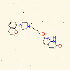 CC1CCc2cccc(N3CCN(CCCCOc4ccc5ccc(=O)[nH]c5n4)CC3)c2O1